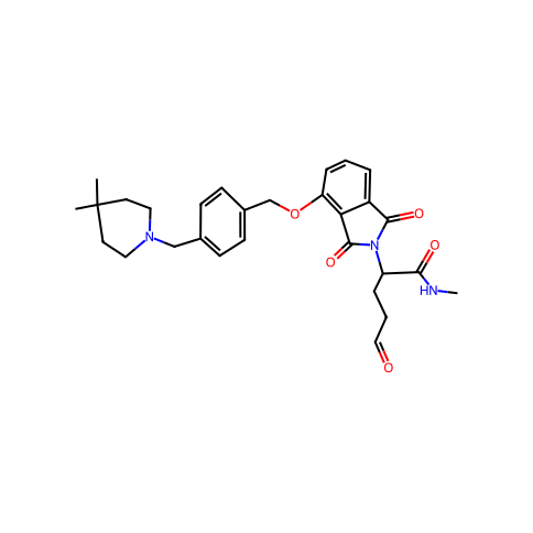 CNC(=O)C(CCC=O)N1C(=O)c2cccc(OCc3ccc(CN4CCC(C)(C)CC4)cc3)c2C1=O